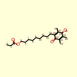 [CH2][CH]C(=O)OCCCCCCCCCC1=C(C)C(=O)C(C)=C(C)C1=O